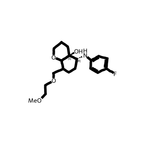 COCCOCC1CC[C@@H](Nc2ccc(F)cc2)[C@@]2(O)CCCOC12